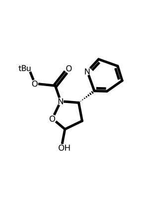 CC(C)(C)OC(=O)N1OC(O)C[C@H]1c1ccccn1